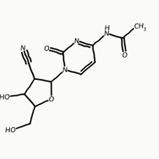 CC(=O)Nc1ccn(C2OC(CO)C(O)C2C#N)c(=O)n1